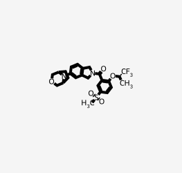 C[C@H](Oc1ccc(S(C)(=O)=O)cc1C(=O)N1Cc2ccc(N3C4CCC3COC4)cc2C1)C(F)(F)F